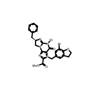 CCN1C(=O)c2c(nc(C(=O)OC)n2Cc2cc(Br)c3c(c2)CCO3)N2C[C@@H](Cc3ccccc3)N=C12